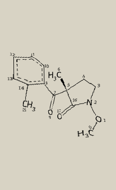 CON1CC[C@@](C)(C(=O)c2ccccc2C)C1=O